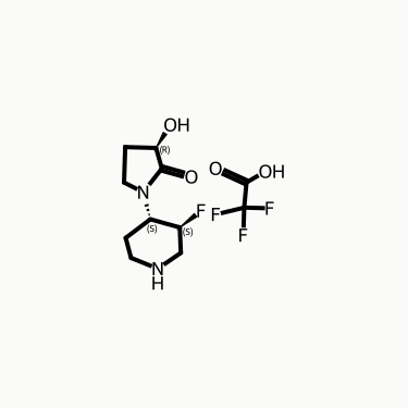 O=C(O)C(F)(F)F.O=C1[C@H](O)CCN1[C@H]1CCNC[C@@H]1F